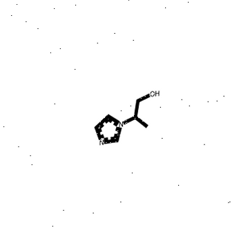 CC(CO)n1ccnc1